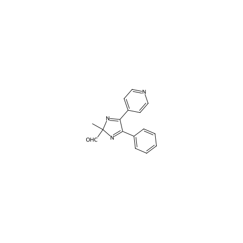 CC1(C=O)N=C(c2ccccc2)C(c2ccncc2)=N1